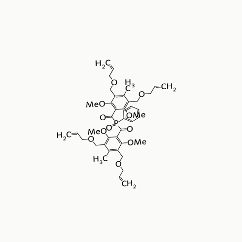 C=CCOCc1c(C)c(COCC=C)c(OC)c(C(=O)P(=O)(C(=O)c2c(OC)c(COCC=C)c(C)c(COCC=C)c2OC)c2ccccc2)c1OC